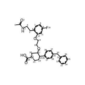 CC(=O)NCCc1ccc(F)cc1OCCOC1CN(C(=O)O)CCC1c1ccc(Cc2ccccc2)cc1